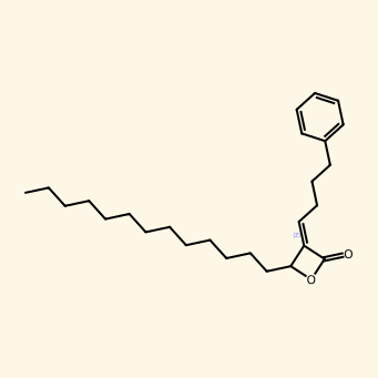 CCCCCCCCCCCCCC1OC(=O)/C1=C\CCCc1ccccc1